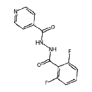 O=C(NNC(=O)c1c(F)cccc1F)c1ccncc1